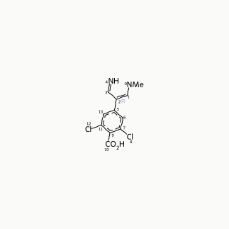 CN/C=C(\C=N)c1cc(Cl)c(C(=O)O)c(Cl)c1